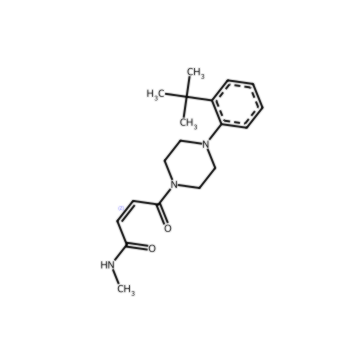 CNC(=O)/C=C\C(=O)N1CCN(c2ccccc2C(C)(C)C)CC1